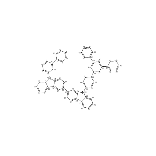 c1ccc(-c2cccc(-n3c4ccccc4c4cc(-c5ccc6c7ccccc7n(-c7ccc(-c8cc(-c9ccccc9)nc(-c9ccccc9)c8)cc7)c6c5)ccc43)c2)cc1